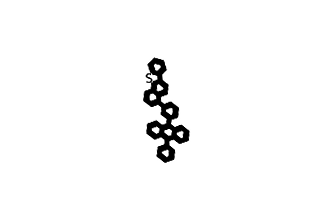 c1ccc(-c2c3ccccc3c(-c3cccc(-c4cccc5c4ccc4c6ccccc6sc54)c3)c3ccccc23)cc1